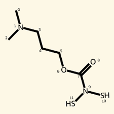 CN(C)CCCOC(=O)N(S)S